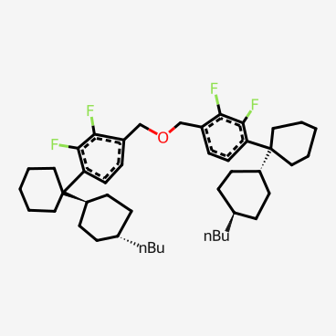 CCCC[C@H]1CC[C@H](C2(c3ccc(COCc4ccc(C5([C@H]6CC[C@H](CCCC)CC6)CCCCC5)c(F)c4F)c(F)c3F)CCCCC2)CC1